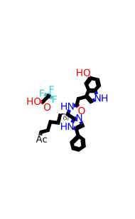 CC(=O)CCCCC[C@H](NC(=O)Cc1c[nH]c2ccc(O)cc12)c1ncc(-c2ccccc2)[nH]1.O=C(O)C(F)(F)F